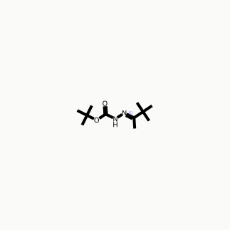 C/C(=N\NC(=O)OC(C)(C)C)C(C)(C)C